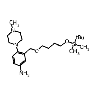 CN1CCN(c2ccc(N)cc2COCCCCO[Si](C)(C)C(C)(C)C)CC1